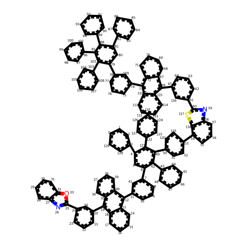 c1ccc(-c2cc(-c3cccc(-c4c5ccccc5c(-c5cccc(-c6nc7ccccc7o6)c5)c5ccccc45)c3)c(-c3ccccc3)c(-c3ccc(-c4cccc5nc(-c6cccc(-c7c8ccccc8c(-c8cccc(-c9cc(-c%10ccccc%10)c(-c%10ccccc%10)c(-c%10ccccc%10)c9-c9ccccc9)c8)c8ccccc78)c6)sc45)cc3)c2-c2ccccc2)cc1